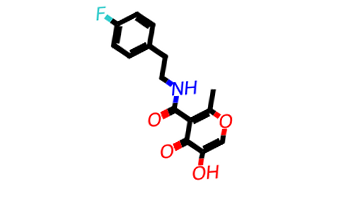 Cc1occ(O)c(=O)c1C(=O)NCCc1ccc(F)cc1